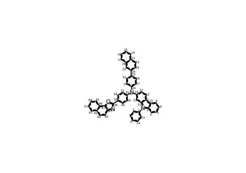 c1ccc(-n2c3ccccc3c3ccc(N(c4ccc(-c5ccc6ccccc6c5)cc4)c4ccc(-c5nc6ccc7ccccc7c6o5)cc4)cc32)cc1